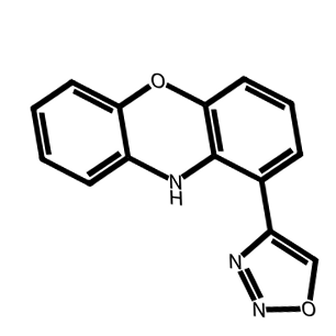 c1ccc2c(c1)Nc1c(cccc1-c1conn1)O2